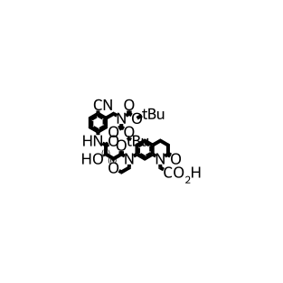 CC(C)(C)OC(=O)N(Cc1cc(NC(=O)[C@H](O)[C@H]2OCCN(c3ccc4c(c3)N(CC(=O)O)C(=O)CC4)C2=O)ccc1C#N)C(=O)OC(C)(C)C